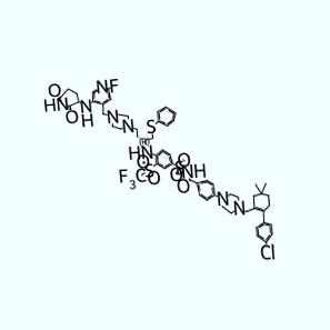 CC1(C)CCC(c2ccc(Cl)cc2)=C(CN2CCN(c3ccc(C(=O)NS(=O)(=O)c4ccc(N[C@H](CCN5CCN(Cc6cc(F)ncc6NC6CCC(=O)NC6=O)CC5)CSc5ccccc5)c(S(=O)(=O)C(F)(F)F)c4)cc3)CC2)C1